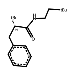 CC(C)(C)CCNC(=O)[C@H](Cc1ccccc1)C(C)(C)C